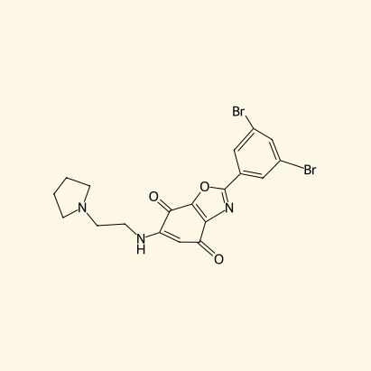 O=C1C=C(NCCN2CCCC2)C(=O)c2oc(-c3cc(Br)cc(Br)c3)nc21